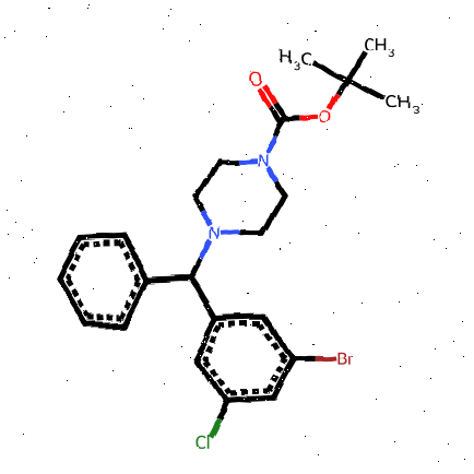 CC(C)(C)OC(=O)N1CCN(C(c2ccccc2)c2cc(Cl)cc(Br)c2)CC1